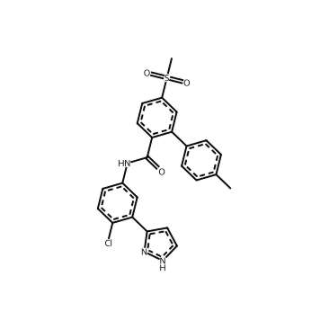 Cc1ccc(-c2cc(S(C)(=O)=O)ccc2C(=O)Nc2ccc(Cl)c(-c3cc[nH]n3)c2)cc1